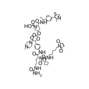 Cc1ncsc1-c1ccc([C@H](C)NC(=O)C2CC(OC(=O)OC(C(=O)N3CCN(C)CC3)c3ccc(NC(=O)[C@H](CCCNC(N)=O)NC(=O)C4(C(=O)NCCCCCN5C(=O)C=CC5=O)CCC4)cc3)CN2C(=O)O)cc1